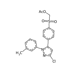 CC(=O)OCS(=O)(=O)c1ccc(-c2cc(Cl)nn2-c2cccc(C)c2)cc1